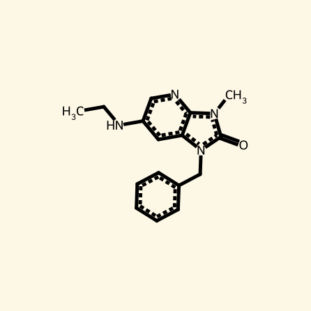 CCNc1cnc2c(c1)n(Cc1ccccc1)c(=O)n2C